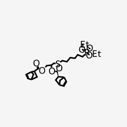 CCOP(=O)(CCCCCCSCC(COC(=O)C1CC2C=CC1C2)OC(=O)[C@@H]1CC2C=CC1C2)OCC